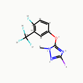 Cn1nc(I)nc1Oc1ccc(F)c(C(F)(F)F)c1